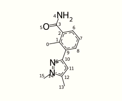 Cc1c(C(N)=O)cccc1-c1cc(C)n(C)n1